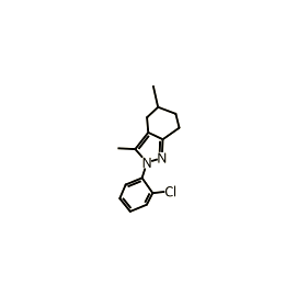 Cc1c2c(nn1-c1ccccc1Cl)CCC(C)C2